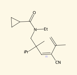 C=C(C)/C(C#N)=C\C(C)(CN(CC)C(=O)C1CC1)C(C)C